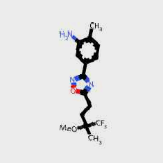 COC(C)(CCc1nc(-c2ccc(C)c(N)c2)no1)C(F)(F)F